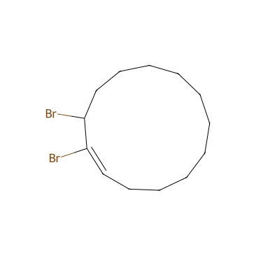 BrC1=CCCCCCCCCCCC1Br